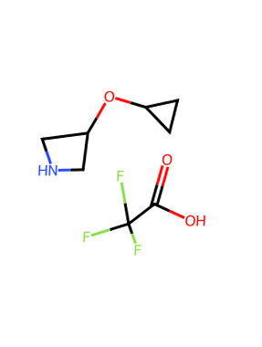 C1CC1OC1CNC1.O=C(O)C(F)(F)F